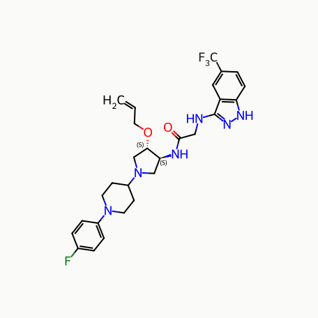 C=CCO[C@H]1CN(C2CCN(c3ccc(F)cc3)CC2)C[C@@H]1NC(=O)CNc1n[nH]c2ccc(C(F)(F)F)cc12